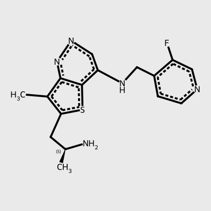 Cc1c(C[C@H](C)N)sc2c(NCc3ccncc3F)cnnc12